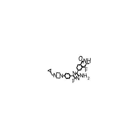 Cc1[nH]c(=O)c2ccc(-c3nc(-c4ccc(N5CCN(CC6CC6)CC5)cc4)c(F)nc3N)cc2c1F